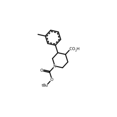 Cc1cccc(C2CN(C(=O)OC(C)(C)C)CCC2C(=O)O)c1